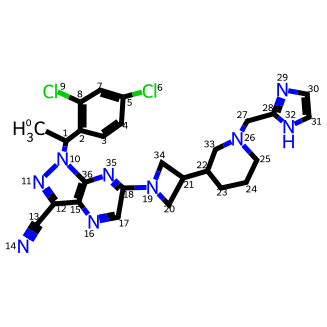 CC(c1ccc(Cl)cc1Cl)n1nc(C#N)c2ncc(N3CC(C4CCCN(Cc5ncc[nH]5)C4)C3)nc21